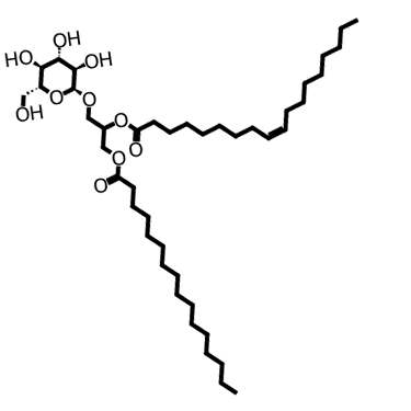 CCCCCCCC/C=C\CCCCCCCC(=O)OC(COC(=O)CCCCCCCCCCCCCCC)CO[C@H]1O[C@H](CO)[C@@H](O)[C@H](O)[C@H]1O